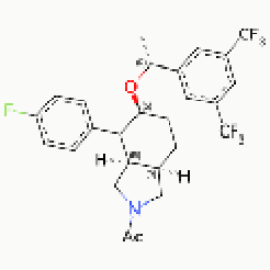 CC(=O)N1C[C@@H]2CC[C@H](O[C@H](C)c3cc(C(F)(F)F)cc(C(F)(F)F)c3)C(c3ccc(F)cc3)[C@@H]2C1